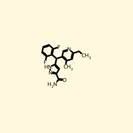 CCc1cc(C)c(C(c2cc(C(N)=O)n[nH]2)c2c(F)cccc2F)cn1